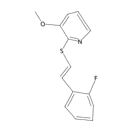 COc1cccnc1S/C=C/c1ccccc1F